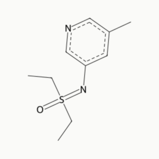 CCS(=O)(CC)=Nc1cncc(C)c1